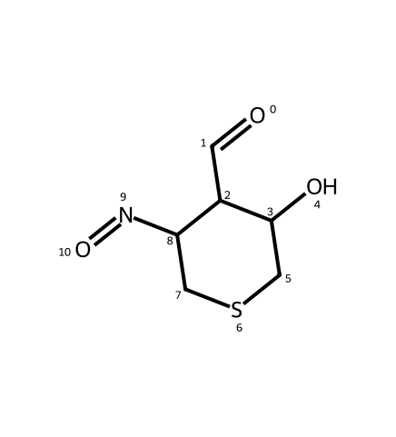 O=CC1C(O)CSCC1N=O